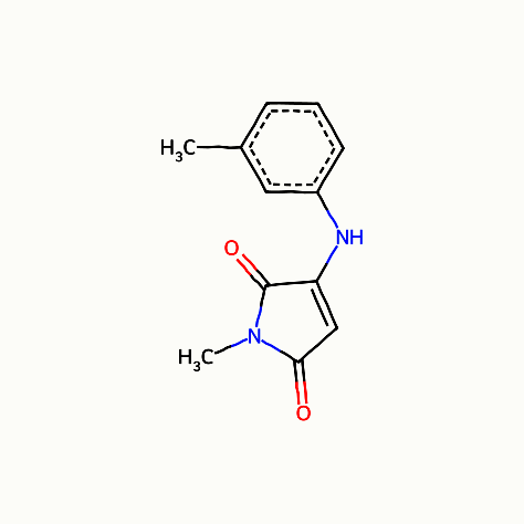 Cc1cccc(NC2=CC(=O)N(C)C2=O)c1